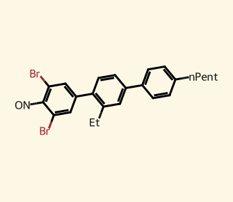 CCCCCc1ccc(-c2ccc(-c3cc(Br)c(N=O)c(Br)c3)c(CC)c2)cc1